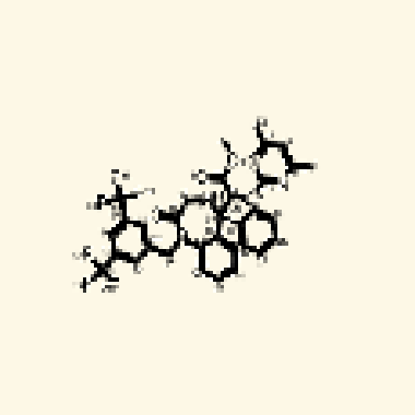 COC(=O)[C@@H](Oc1nc(C)cc(C)n1)[C@@]1(c2ccccc2)NCC(=O)N(Cc2cc(C(F)(F)F)cc(C(F)(F)F)c2)c2ccccc21